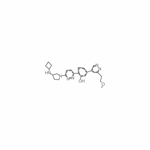 COCCc1cc(-c2ccc(-c3ccc(N4CCC(NC5CCC5)C4)nn3)c(O)c2)cnn1